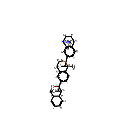 C1=CC2C3CC(c4ccc5c(c4)C4CS[C@H]5C(c5ccc6c(c5)C5CCC6CN5)C4)C(CO3)C2C=C1